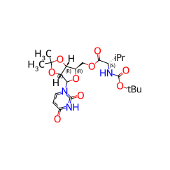 CC(C)[C@H](NC(=O)OC(C)(C)C)C(=O)OC[C@H]1OC(n2ccc(=O)[nH]c2=O)[C@@H]2OC(C)(C)O[C@H]12